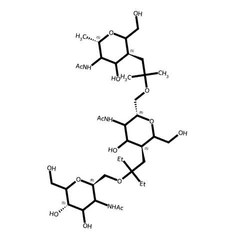 CCC(CC)(C[C@@H]1C(CO)O[C@@H](COC(C)(C)C[C@@H]2C(CO)O[C@@H](C)C(NC(C)=O)C2O)C(NC(C)=O)C1O)OC[C@@H]1OC(CO)[C@@H](O)C(O)C1NC(C)=O